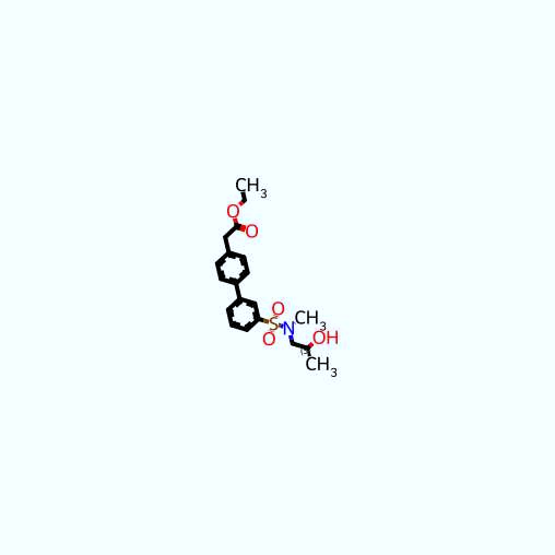 CCOC(=O)Cc1ccc(-c2cccc(S(=O)(=O)N(C)C[C@H](C)O)c2)cc1